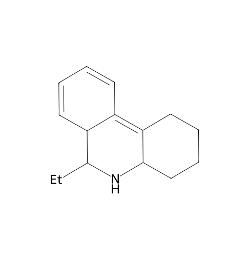 CCC1NC2CCCCC2=C2C=CC=CC21